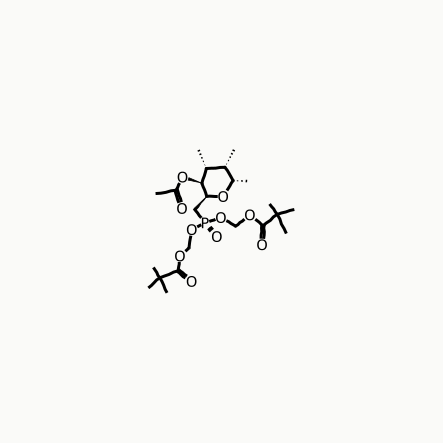 CC(=O)O[C@H]1[C@H](C)[C@H](C)[C@H](C)O[C@H]1CP(=O)(OCOC(=O)C(C)(C)C)OCOC(=O)C(C)(C)C